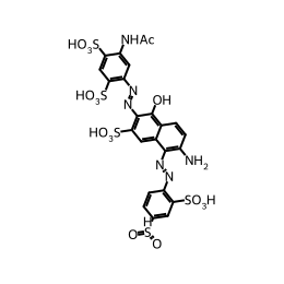 CC(=O)Nc1cc(N=Nc2c(S(=O)(=O)O)cc3c(N=Nc4ccc([SH](=O)=O)cc4S(=O)(=O)O)c(N)ccc3c2O)c(S(=O)(=O)O)cc1S(=O)(=O)O